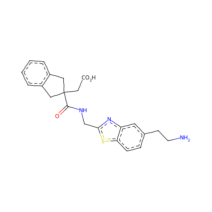 NCCc1ccc2sc(CNC(=O)C3(CC(=O)O)Cc4ccccc4C3)nc2c1